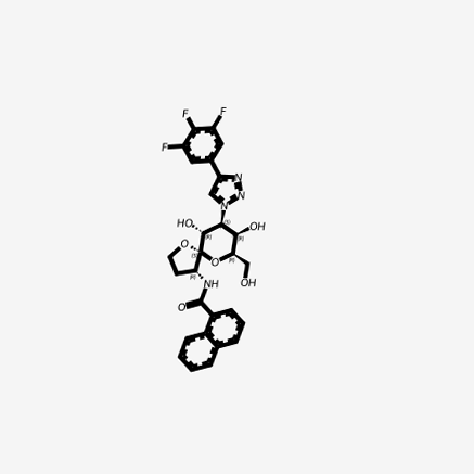 O=C(N[C@@H]1CCO[C@]12O[C@H](CO)[C@H](O)[C@H](n1cc(-c3cc(F)c(F)c(F)c3)nn1)[C@H]2O)c1cccc2ccccc12